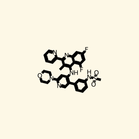 Cc1c(-c2ccccn2)nc2cc(F)cc(F)c2c1Nc1cc(N2CCOCC2)ncc1-c1cccc(NS(C)(=O)=O)c1